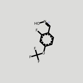 O/N=C\c1ccc(OC(F)(F)F)cc1F